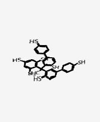 CC(c1cc(-c2ccc(S)cc2)ccc1S)(c1cc(-c2ccc(S)cc2)ccc1S)c1c(S)cc(S)cc1S